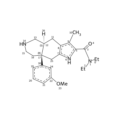 CCN(CC)C(=O)c1[nH]c2c(c1C)C[C@@H]1CNCC[C@@]1(c1cccc(OC)c1)C2